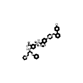 O=[N+]([O-])c1cc(S(=O)(=O)Nc2ncnc3cc(N4CCN(Cc5ccccc5-c5ccc(Cl)cc5)CC4)ccc23)ccc1NC(CCN1CCCC1)CSc1ccccc1